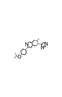 CC(C)Oc1ccc(-c2cc3c(cn2)=CC(C)C(c2cncn2C)C=3)cc1